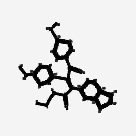 CCOC(=O)/C(=C(/C(=O)c1ccc(OC)cc1)c1ccc(OC)cc1)c1ccc2nsnc2c1